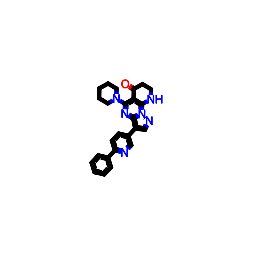 O=C1CCNc2c1c(N1CCCCC1)nc1c(-c3ccc(-c4ccccc4)nc3)cnn21